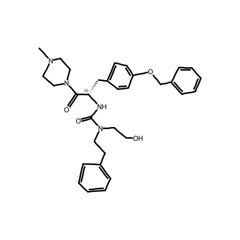 CN1CCN(C(=O)[C@H](Cc2ccc(OCc3ccccc3)cc2)NC(=O)N(CCO)CCc2ccccc2)CC1